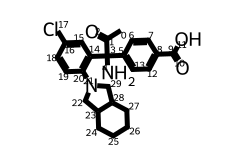 CC(=O)C(N)(c1ccc(C(=O)O)cc1)c1cc(Cl)ccc1N1CC2CCCCC2C1